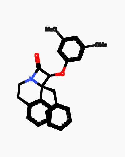 COc1cc(OC)cc(O[C@@H]2C(=O)N3CCc4ccccc4[C@@]23Cc2ccccc2)c1